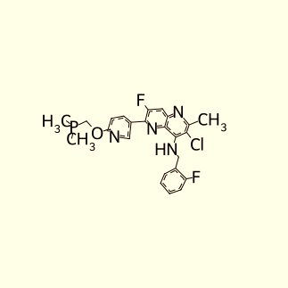 Cc1nc2cc(F)c(-c3ccc(OCP(C)C)nc3)nc2c(NCc2ccccc2F)c1Cl